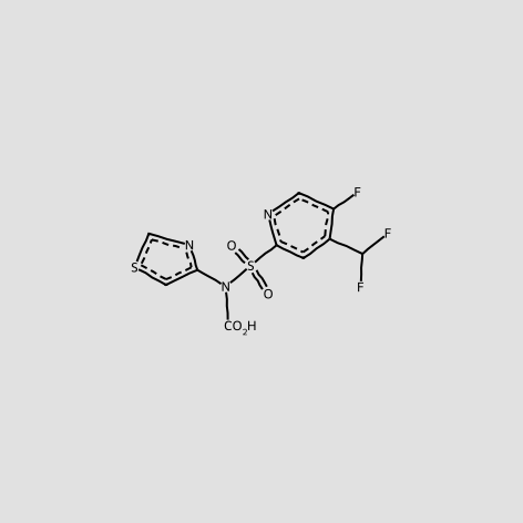 O=C(O)N(c1cscn1)S(=O)(=O)c1cc(C(F)F)c(F)cn1